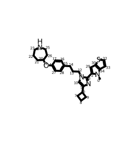 Cn1c(-c2nc(C3CCC3)cn2CCCc2ccc(OC3CCCNCC3)cc2)cc2sccc21